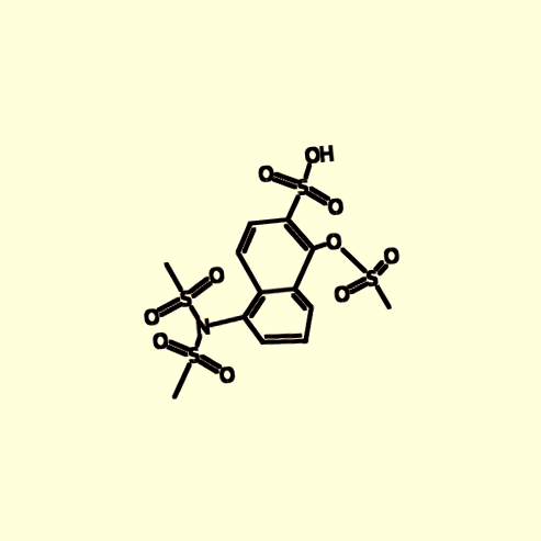 CS(=O)(=O)Oc1c(S(=O)(=O)O)ccc2c(N(S(C)(=O)=O)S(C)(=O)=O)cccc12